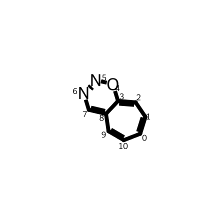 C1=CC=C2ON=NC=C2C=C1